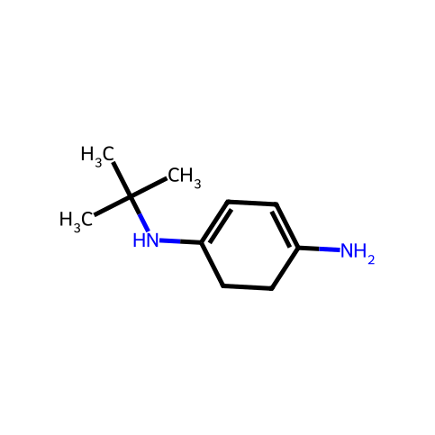 CC(C)(C)NC1=CC=C(N)CC1